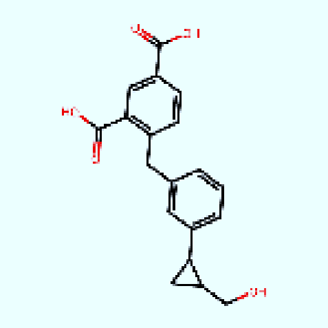 O=C(O)c1ccc(Cc2cccc(C3CC3CO)c2)c(C(=O)O)c1